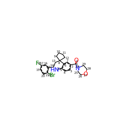 O=C(c1ccc2c(c1)C1(CCCC1)CC(c1cc(F)ccc1Br)N2)N1CCOCC1